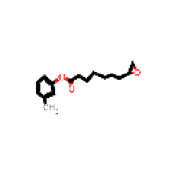 Cc1cccc(OC(=O)CCCCCCC2CO2)c1